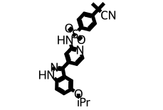 CC(C)Oc1ccc2[nH]nc(-c3ccnc(NS(=O)(=O)c4ccc(C(C)(C)C#N)cc4)c3)c2c1